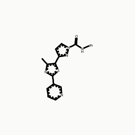 Cc1nc(-c2cccnc2)sc1-c1ccn(C(=O)NC(C)C)n1